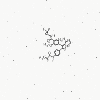 C=C(F)C(=O)Nc1ccc(-c2nn3ncnc(N)c3c2-c2ccc(C(=O)NC3CC3(F)F)c(OC)c2)cc1